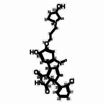 Cn1c2cc(OCCCN3CCC(O)C3)c(O)cc2c2c3c(c(-c4ccccc4Cl)cc21)C(=O)NC3=O